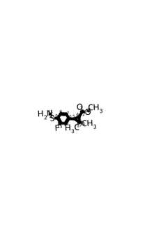 COC(=O)C1C(c2ccc(SN)c(F)c2)C1(C)C